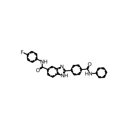 O=C(Nc1ccccc1)c1ccc(-c2nc3cc(C(=O)Nc4ccc(F)cc4)ccc3[nH]2)cc1